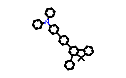 CC1(C)c2ccccc2-c2cc(-c3ccc(-c4ccc(N(c5ccccc5)c5ccccc5)cc4)cc3)cc(-c3ccccc3)c21